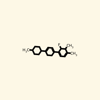 CC1=CC=C(C2=CC=C(C3CCC(C)CC3)CC2)C(F)C1C